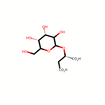 O=C(O)C[C@H](OC1OC(CO)[C@H](O)[C@H](O)C1O)C(=O)O